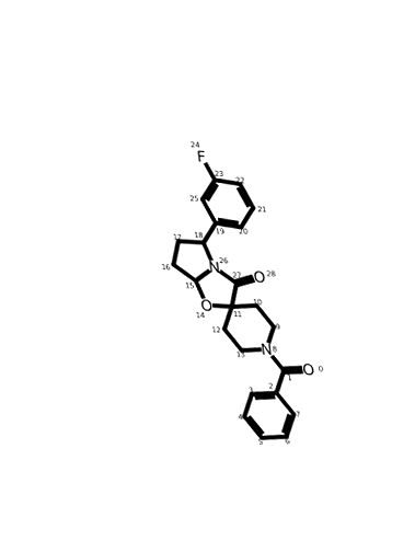 O=C(c1ccccc1)N1CCC2(CC1)OC1CCC(c3cccc(F)c3)N1C2=O